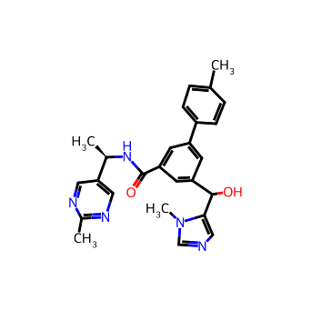 Cc1ccc(-c2cc(C(=O)N[C@H](C)c3cnc(C)nc3)cc(C(O)c3cncn3C)c2)cc1